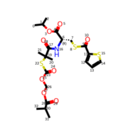 CC(C)OC(=O)[C@H](CSC(=O)c1cccs1)NC(=O)C(C)(C)SC(=O)OCOC(=O)C(C)C